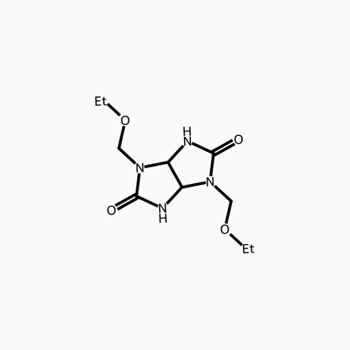 CCOCN1C(=O)NC2C1NC(=O)N2COCC